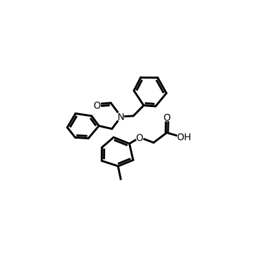 Cc1cccc(OCC(=O)O)c1.O=CN(Cc1ccccc1)Cc1ccccc1